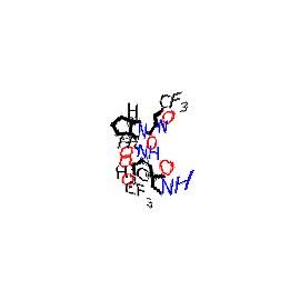 C[C@]1(C[C@H](NC(=O)[C@@H]2[C@H]3CCC[C@H]3CN2C(=O)c2cc(C(F)(F)F)on2)C(=O)COC(F)(F)F)CCNC1=O